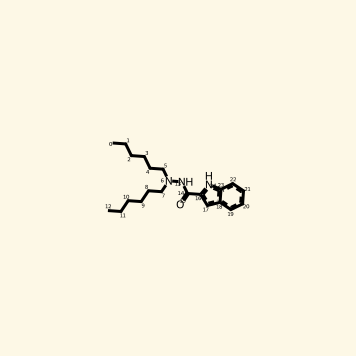 CCCCCCN(CCCCCC)NC(=O)c1cc2ccccc2[nH]1